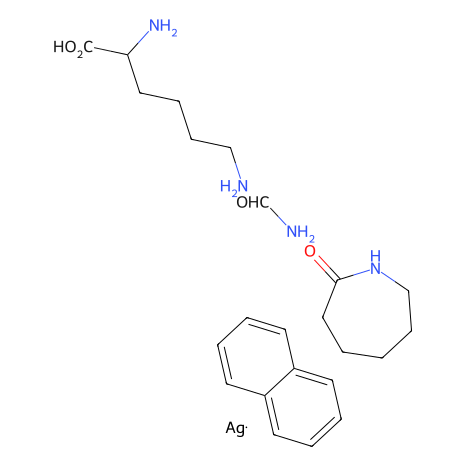 NC=O.NCCCCC(N)C(=O)O.O=C1CCCCCN1.[Ag].c1ccc2ccccc2c1